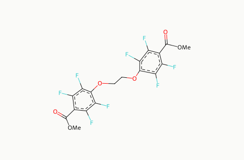 COC(=O)c1c(F)c(F)c(OCCOc2c(F)c(F)c(C(=O)OC)c(F)c2F)c(F)c1F